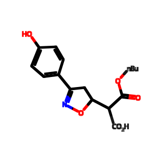 CCCCOC(=O)C(C(=O)O)C1CC(c2ccc(O)cc2)=NO1